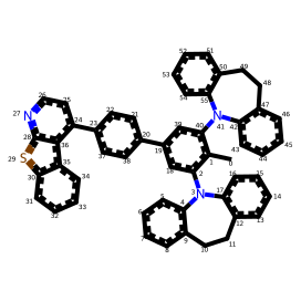 Cc1c(N2c3ccccc3CCc3ccccc32)cc(-c2ccc(-c3ccnc4sc5ccccc5c34)cc2)cc1N1c2ccccc2CCc2ccccc21